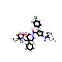 CC(C)NC1CC(C(=O)N2CCC(CN3C(=O)OCC3(C)C)(C3CCCCC3)CC2)[C@H](c2ccc(Cl)cc2)C1